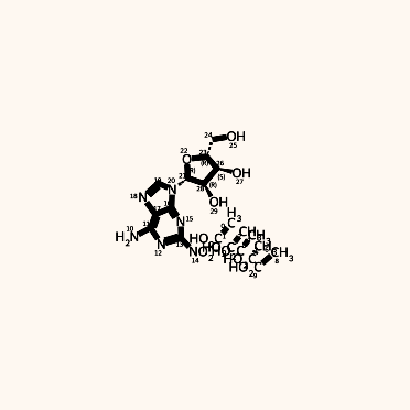 CC(=O)O.CC(=O)O.CC(=O)O.CC(=O)O.CC(=O)O.Nc1nc([N+](=O)[O-])nc2c1ncn2[C@@H]1O[C@H](CO)[C@@H](O)[C@H]1O